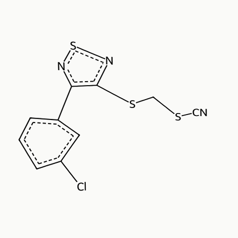 N#CSCSc1nsnc1-c1cccc(Cl)c1